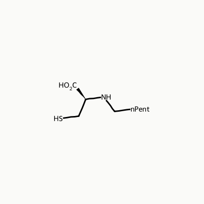 CCCCCCN[C@@H](CS)C(=O)O